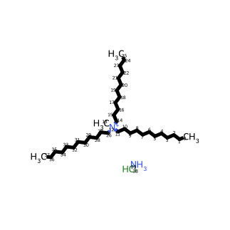 CCCCCCCCCCCC[N+](C)(CCCCCCCCCCCC)CCCCCCCCCCCC.Cl.N